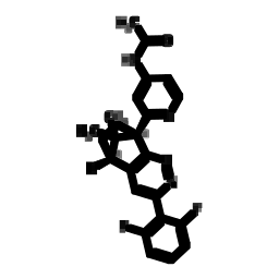 CC(=O)Nc1ccnc([C@@]23CC[C@@H](c4cc(-c5c(F)cccc5F)nnc42)C3(C)C)c1